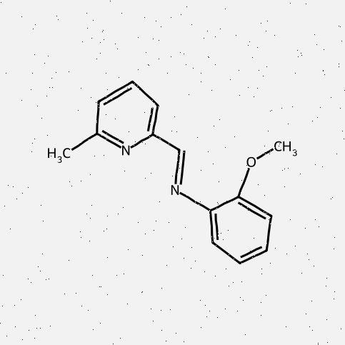 COc1ccccc1/N=C/c1cccc(C)n1